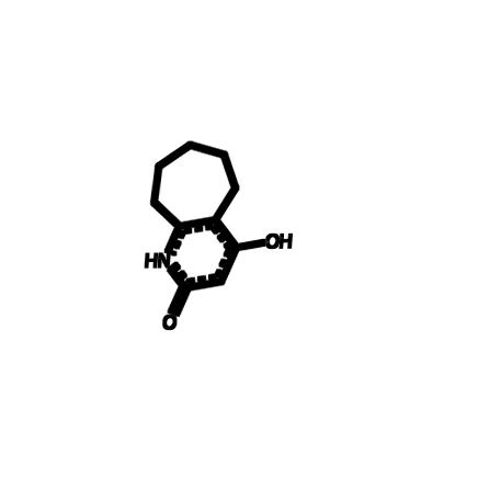 O=c1cc(O)c2c([nH]1)CCCCC2